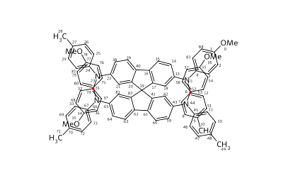 COc1ccc(N(c2ccc(C)cc2)c2ccc3c(c2)C2(c4cc(N(c5ccc(C)cc5)c5ccc(OC)cc5)ccc4-3)c3cc(N(c4ccc(C)cc4)c4ccc(OC)cc4)ccc3-c3ccc(N(c4ccc(C)cc4)c4ccc(OC)cc4)cc32)cc1